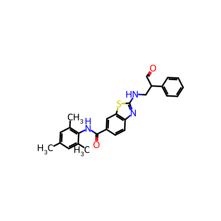 Cc1cc(C)c(NC(=O)c2ccc3nc(NCC(C=O)c4ccccc4)sc3c2)c(C)c1